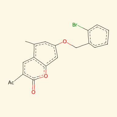 CC(=O)c1cc2c(C)cc(OCc3ccccc3Br)cc2oc1=O